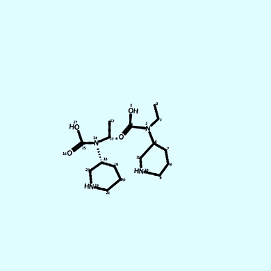 CCN(C(=O)O)C1CCCNC1.CCN(C(=O)O)[C@@H]1CCCNC1